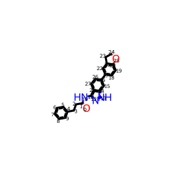 O=C(CCc1ccccc1)Nc1n[nH]c2cc(-c3ccc4c(c3)CCO4)ccc12